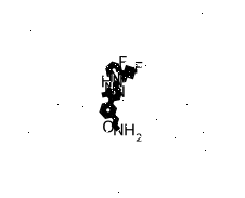 Cc1nc(NCC2(c3ncccc3F)CC(F)C2)ncc1-c1cccc(CC(N)=O)c1